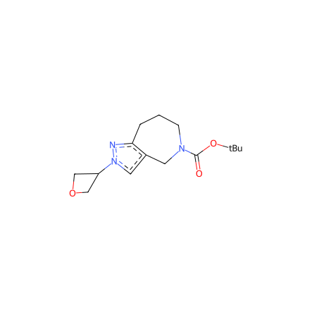 CC(C)(C)OC(=O)N1CCCc2nn(C3COC3)cc2C1